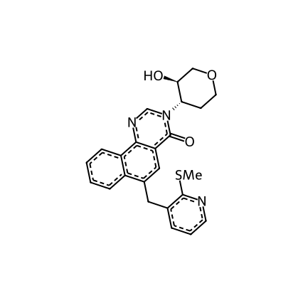 CSc1ncccc1Cc1cc2c(=O)n([C@H]3CCOC[C@@H]3O)cnc2c2ccccc12